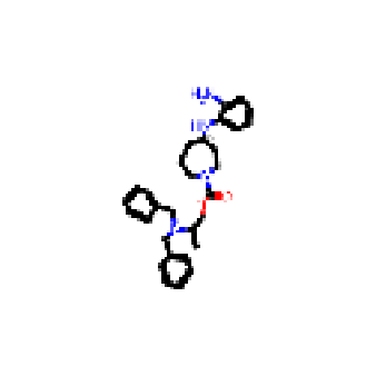 CC(COC(=O)N1CCC[C@H](Nc2ccccc2N)CC1)N(Cc1ccccc1)Cc1ccccc1